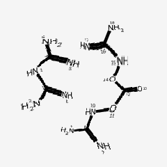 N=C(N)NC(=N)N.N=C(N)NOC(=O)ONC(=N)N